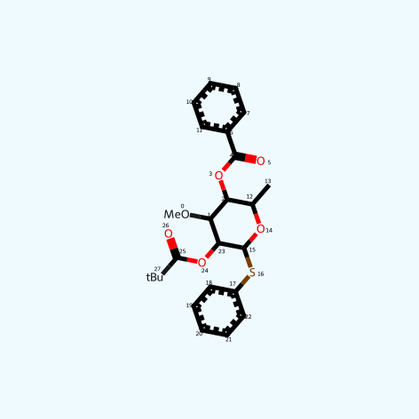 COC1C(OC(=O)c2ccccc2)C(C)OC(Sc2ccccc2)C1OC(=O)C(C)(C)C